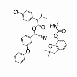 CC(C)C(C(=O)OC(C#N)c1cccc(Oc2ccccc2)c1)c1ccc(Cl)cc1.CNC(=O)Oc1cccc2c1OC(C)(C)C2